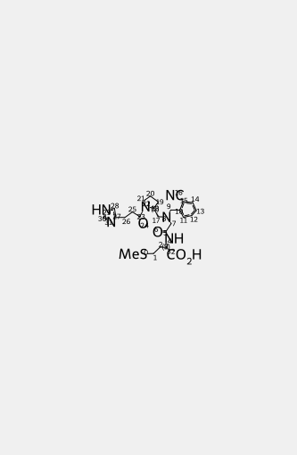 CSCC[C@H](NC(=O)CN(Cc1ccccc1C#N)C[C@@H]1CCCN1C(=O)CCc1c[nH]cn1)C(=O)O